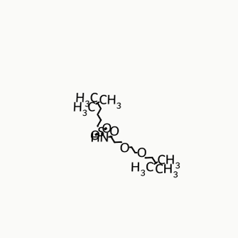 CC(C)(C)CCCCS(=O)(=O)NC(=O)CCOCCOCCC(C)(C)C